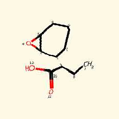 C1CCC2OC2C1.CCCC(=O)O